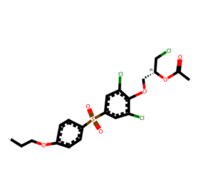 [CH2][CH]COc1ccc(S(=O)(=O)c2cc(Cl)c(OC[C@H](CCl)OC(C)=O)c(Cl)c2)cc1